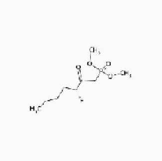 CCCC[C@@H](F)C(=O)CP(=O)(OC)OC